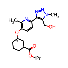 Cc1nc(-c2nnn(C)c2CO)ccc1O[C@H]1CCCC(C(=O)OC(C)C)C1